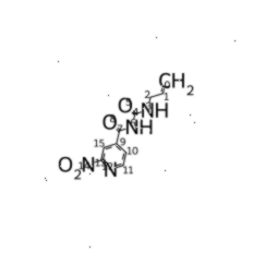 C=CCNC(=O)NC(=O)c1ccnc([N+](=O)[O-])c1